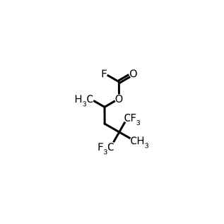 CC(CC(C)(C(F)(F)F)C(F)(F)F)OC(=O)F